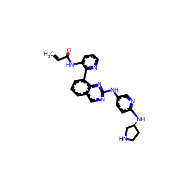 C=CC(=O)Nc1cccnc1-c1cccc2cnc(Nc3ccc(N[C@@H]4CCNC4)nc3)nc12